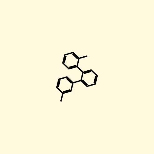 Cc1cccc(-c2ccccc2-c2ccccc2C)c1